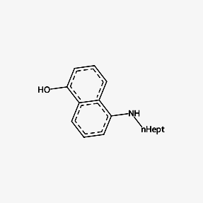 CCCCCCCNc1cccc2c(O)cccc12